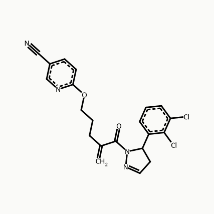 C=C(CCCOc1ccc(C#N)cn1)C(=O)N1N=CCC1c1cccc(Cl)c1Cl